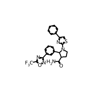 NC(=O)C1CCN(c2nc(-c3ccccc3)cs2)C1c1cccc(-c2noc(C(F)(F)F)n2)c1